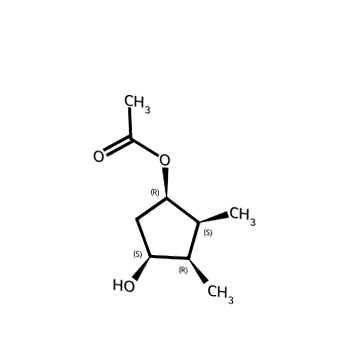 CC(=O)O[C@@H]1C[C@H](O)[C@H](C)[C@@H]1C